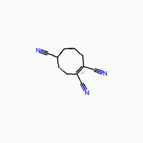 N#C/C1=C(\C#N)CCC(C#N)CCC1